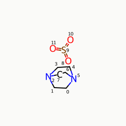 C1CN2CCN1CC2.O=S(=O)=O